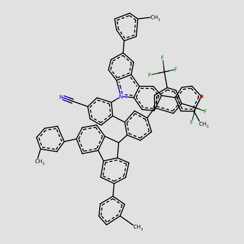 Cc1cccc(-c2ccc3c(c2)-c2cc(-c4cccc(C)c4)ccc2C3c2ccc(-c3cc(C(F)(F)F)cc(C(F)(F)F)c3)cc2-c2ccc(C#N)cc2-n2c3ccc(-c4cccc(C)c4)cc3c3cc(-c4cccc(C)c4)ccc32)c1